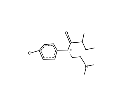 CCC(C)C(=O)[C@H](CCN(C)C)c1ccc(Cl)cc1